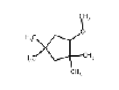 COC1CC(C)(C)CC1(C)C